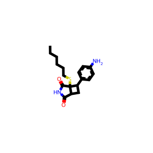 CCCCCCSC12C(=O)NC(=O)C1CC2c1ccc(N)cc1